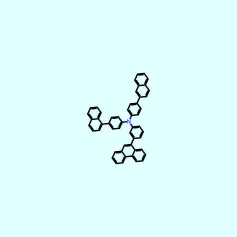 c1cc(-c2cc3ccccc3c3ccccc23)cc(N(c2ccc(-c3ccc4ccccc4c3)cc2)c2ccc(-c3cccc4ccccc34)cc2)c1